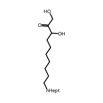 CCCCCCCCCCCCCCC(O)C(=O)CO